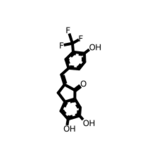 O=C1C(=Cc2ccc(O)c(C(F)(F)F)c2)Cc2cc(O)c(O)cc21